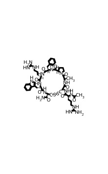 CC(=O)N[C@@H](CCCNC(=N)N)C(=O)N[C@H]1CSSC[C@@H](C(N)=O)NC(=O)[C@H](Cc2c[nH]c3ccccc23)NC(=O)[C@H](CCCNC(=N)N)NC(=O)[C@@H](Cc2ccccc2)NC(=O)[C@@H]2CCCN2C(=O)[C@@H](C)NC1=O